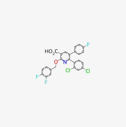 O=C(O)c1cc(-c2ccc(F)cc2)c(-c2ccc(Cl)cc2Cl)nc1OCc1ccc(F)c(F)c1